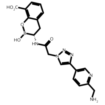 NCc1ccc(-c2cn(CC(=O)N[C@H]3Cc4cccc(C(=O)O)c4OB3O)nn2)cn1